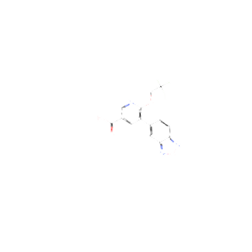 O=C(O)c1cnc(OCC(F)(F)F)c(-c2ccc3nonc3c2)c1